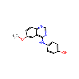 COc1ccc2ncnc(Nc3ccc(O)cc3)c2c1